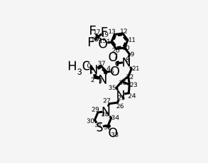 Cn1cnc(OC(=O)N(Cc2cccc(OC(F)(F)F)c2)CC2C3CN(CCN4CCSC(=O)C4)CC32)c1